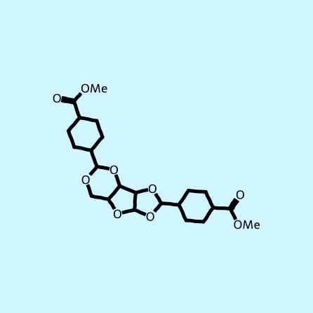 COC(=O)C1CCC(C2OCC3OC4OC(C5CCC(C(=O)OC)CC5)OC4C3O2)CC1